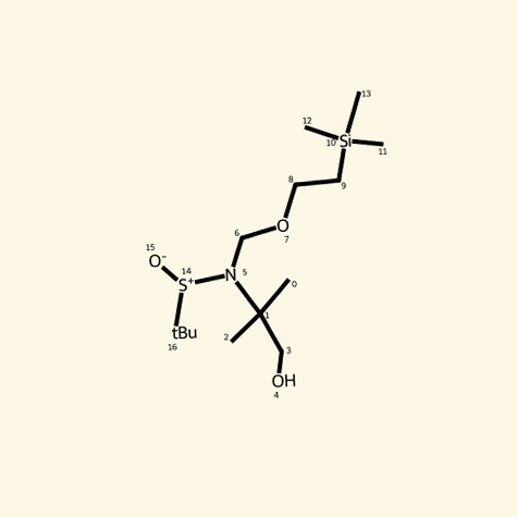 CC(C)(CO)N(COCC[Si](C)(C)C)[S+]([O-])C(C)(C)C